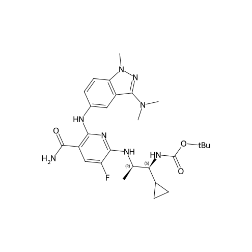 C[C@@H](Nc1nc(Nc2ccc3c(c2)c(N(C)C)nn3C)c(C(N)=O)cc1F)[C@@H](NC(=O)OC(C)(C)C)C1CC1